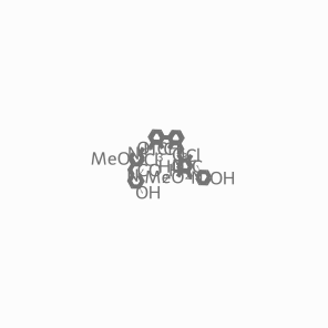 COc1nc(OCc2cccc(-c3cccc(COc4nc(OC)c(CN5CC[C@@H](O)C[C@H]5C(=O)O)cc4Cl)c3C)c2C)c(Cl)cc1CN1CC=C(O)C[C@H]1C(=O)O